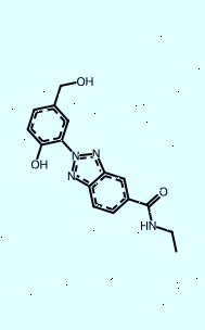 CCNC(=O)c1ccc2nn(-c3cc(CO)ccc3O)nc2c1